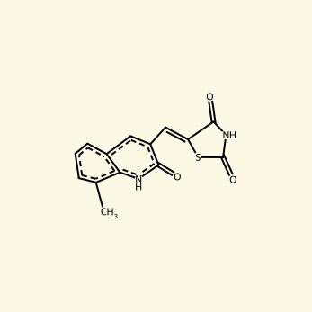 Cc1cccc2cc(/C=C3\SC(=O)NC3=O)c(=O)[nH]c12